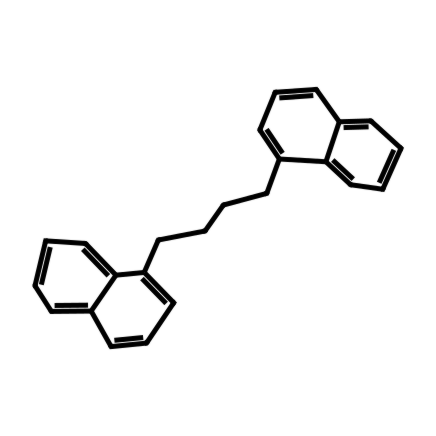 c1ccc2c(CCCCc3cccc4ccccc34)cccc2c1